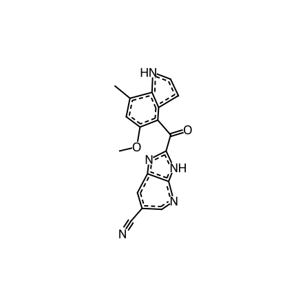 COc1cc(C)c2[nH]ccc2c1C(=O)c1nc2cc(C#N)cnc2[nH]1